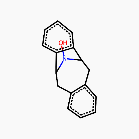 ON1C2Cc3ccccc3CC1c1ccccc12